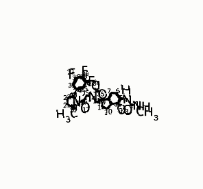 CNC(=O)NC1=CC=C2C(CC[C@]23CN(CC(=O)N2[C@H](C)CC[C@H]2c2cc(F)c(F)c(F)c2)C(=O)O3)C1=O